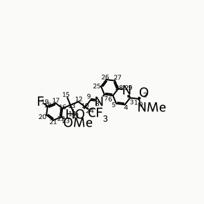 CNC(=O)c1ccc2c(/N=C/C(O)(CC(C)(C)c3cc(F)ccc3OC)C(F)(F)F)cccc2n1